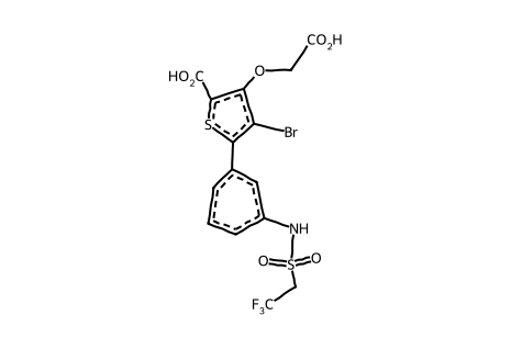 O=C(O)COc1c(C(=O)O)sc(-c2cccc(NS(=O)(=O)CC(F)(F)F)c2)c1Br